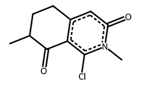 CC1CCc2cc(=O)n(C)c(Cl)c2C1=O